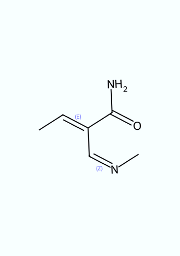 C/C=C(\C=N/C)C(N)=O